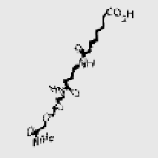 CNC(=O)COCCOCCNC(=O)CCCNC(=O)CCCCCCC(=O)O